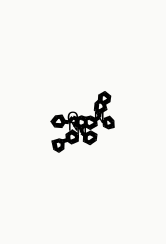 c1ccc(-c2ccc(N(c3ccccc3)c3c4ccc(N(c5ccccc5)c5ccc6ccccc6c5)cc4cc4oc(-c5ccccc5)nc34)cc2)cc1